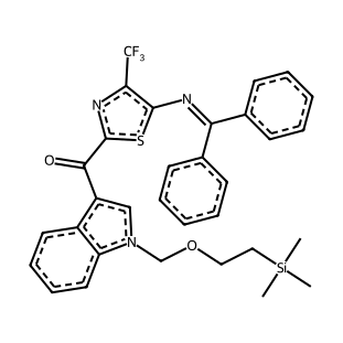 C[Si](C)(C)CCOCn1cc(C(=O)c2nc(C(F)(F)F)c(N=C(c3ccccc3)c3ccccc3)s2)c2ccccc21